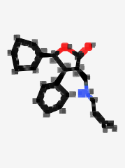 C=CCNC[C@@H]1C(=O)O[C@H](c2ccccc2)[C@@H]1c1ccccc1